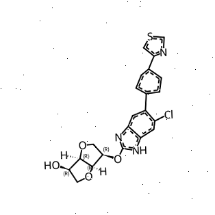 O[C@@H]1CO[C@H]2[C@@H]1OC[C@H]2Oc1nc2cc(-c3ccc(-c4cscn4)cc3)c(Cl)cc2[nH]1